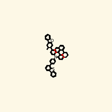 CC1Cc2c(oc3ccccc23)C=C1c1ccc(N(c2ccc(-c3cccc4c3sc3ccccc34)cc2)c2ccccc2-c2cccc3cccc(C4CCCCC4)c23)cc1